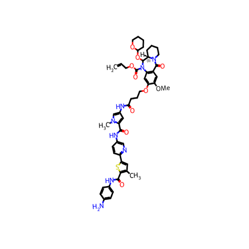 C=CCOC(=O)N1c2cc(OCCCC(=O)Nc3cc(C(=O)Nc4ccc(-c5cc(C)c(C(=O)Nc6ccc(N)cc6)s5)nc4)n(C)c3)c(OC)cc2C(=O)N2CCCC[C@H]2C1OC1CCCCO1